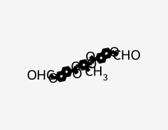 Cc1cc(OC(=O)c2ccc3cc(OC=O)ccc3c2)ccc1OC(=O)c1ccc2cc(OC=O)ccc2c1